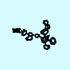 N#Cc1ccc(-c2ccc(-c3ccc(-c4nc(-c5ccccc5)c(-c5ccccc5)nc4-c4ccc5c(c4)oc4ccccc45)cc3)c3ccccc23)cc1